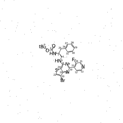 CC(C)(C)OC(=O)N[C@H](CNc1nc(-c2ccncc2F)nc2c(Br)csc12)Cc1ccccc1